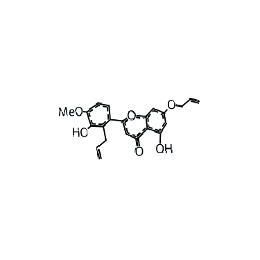 C=CCOc1cc(O)c2c(=O)cc(-c3ccc(OC)c(O)c3CC=C)oc2c1